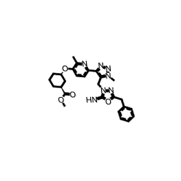 COC(=O)[C@H]1CCC[C@H](Oc2ccc(-c3nnn(C)c3Cn3nc(Cc4ccccc4)oc3=N)nc2C)C1